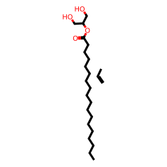 C=CC.CCCCCCCCCCCCCCCCCC(=O)OC(CO)CO